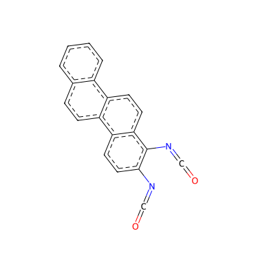 O=C=Nc1ccc2c(ccc3c4ccccc4ccc23)c1N=C=O